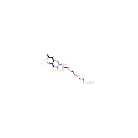 C=C(O)/C=C(CCNC(=O)COCCOCCOC)\C(=C/CO)[N+](=O)[O-]